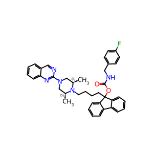 C[C@@H]1CN(c2ncc3ccccc3n2)C[C@H](C)N1CCCCC1(OC(=O)NCc2ccc(F)cc2)c2ccccc2-c2ccccc21